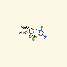 COc1cc(C[n+]2ccc(N(C)C)cc2F)cc(OC)c1OC.[Br-]